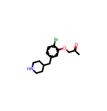 CC(=O)COc1cc(CC2CCNCC2)ccc1Br